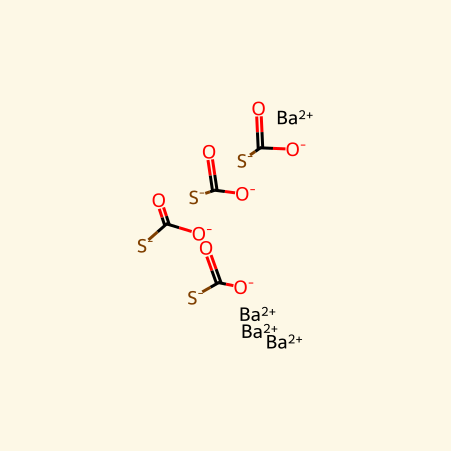 O=C([O-])[S-].O=C([O-])[S-].O=C([O-])[S-].O=C([O-])[S-].[Ba+2].[Ba+2].[Ba+2].[Ba+2]